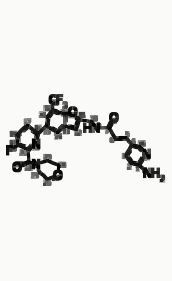 Nc1ccc(C=CC(=O)NCc2cc3cc(-c4ccc(F)c(C(=O)N5CCOCC5)n4)cc(C(F)(F)F)c3o2)cn1